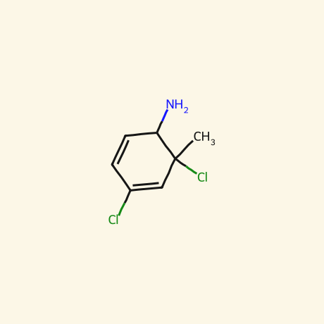 CC1(Cl)C=C(Cl)C=CC1N